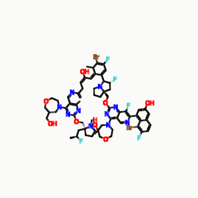 C=C(C/C=C(O)\C=C1\C(C2[C@H](F)C[C@]3(COc4nc(N5CCOCC(C)(O)C5)c5cnc(-c6cc(O)cc7ccc(F)c(Br)c67)c(F)c5n4)CCCN23)=CC(F)=C(Br)C1C)/N=C\c1c(C)nc(OC[C@@]2(C[C@H](C)F)CCCN2C)nc1N1CCOCC(CO)C1